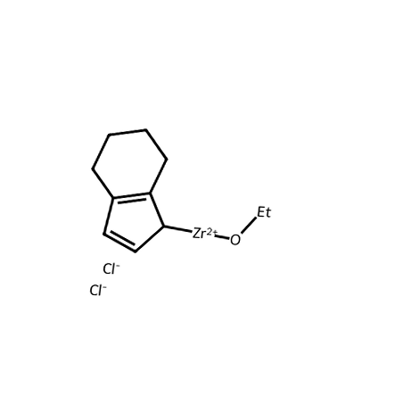 CC[O][Zr+2][CH]1C=CC2=C1CCCC2.[Cl-].[Cl-]